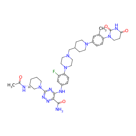 CC(=O)N[C@@H]1CCCN(c2nnc(C(N)=O)c(Nc3ccc(N4CCN(CC5CCN(c6ccc(N7CCC(=O)NC7=O)c(C)c6)CC5)CC4)c(F)c3)n2)C1